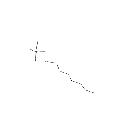 C[N+](C)(C)C.[CH2]CCCCCCC